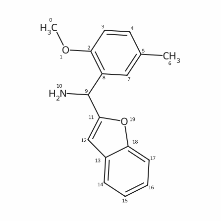 COc1ccc(C)cc1C(N)c1cc2ccccc2o1